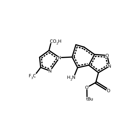 CC(C)(C)OC(=O)c1noc2ccc(-n3nc(C(F)(F)F)cc3C(=O)O)c(N)c12